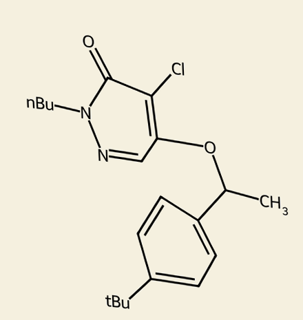 CCCCn1ncc(OC(C)c2ccc(C(C)(C)C)cc2)c(Cl)c1=O